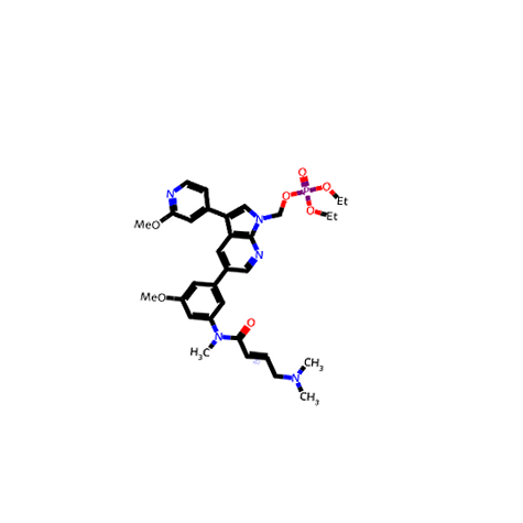 CCOP(=O)(OCC)OCn1cc(-c2ccnc(OC)c2)c2cc(-c3cc(OC)cc(N(C)C(=O)/C=C/CN(C)C)c3)cnc21